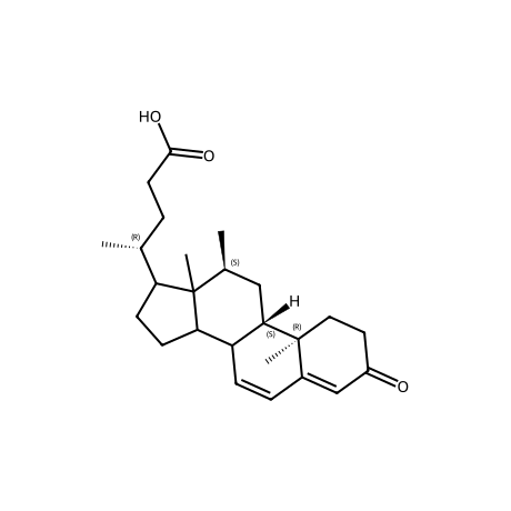 C[C@H](CCC(=O)O)C1CCC2C3C=CC4=CC(=O)CC[C@]4(C)[C@H]3C[C@H](C)C21C